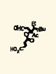 CCCCC(CC)C(CC=O)(OC(=O)C=CC(=O)O)C(C)=O